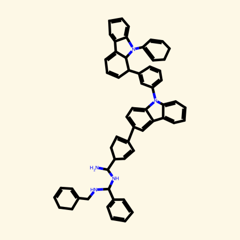 NC(NC(NCC1=CC=CCC1)c1ccccc1)C1C=CC(c2ccc3c(c2)c2ccccc2n3-c2cccc(C3C=CC=C4c5ccccc5N(C5=CCCC=C5)C43)c2)=CC1